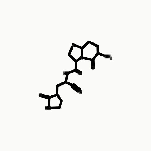 N#CC(CC1CCNC1=O)NC(=O)C1CSC2CCC(N)C(=O)N21